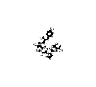 C[C@H](NC(=O)[C@@H](NC(=O)[C@@H](N)Cc1ccc(O)cc1)[C@@H](C)O)C(=O)N1CCC[C@H]1C(=O)N[C@H](C(=O)O)[C@@H](C)O